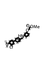 COC(=O)COc1cccc(NCC23CCC(c4ccc(N(C)C)c(Cl)c4)(CC2)CC3)c1